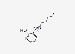 CCCCC/N=N/c1cccnc1O